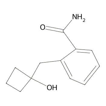 NC(=O)c1ccccc1CC1(O)CCC1